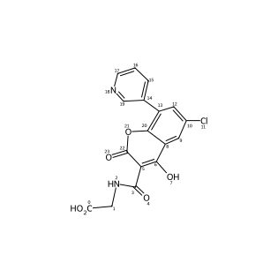 O=C(O)CNC(=O)c1c(O)c2cc(Cl)cc(-c3cccnc3)c2oc1=O